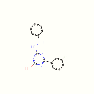 Oc1nc(NNc2ccccc2)nc(-c2cccc(Cl)c2)n1